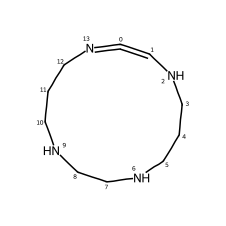 C1=CNCCCNCCNCCCN=1